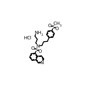 CS(=O)(=O)c1ccc(CCCN(CCCN)S(=O)(=O)c2cccc3cnccc23)cc1.Cl